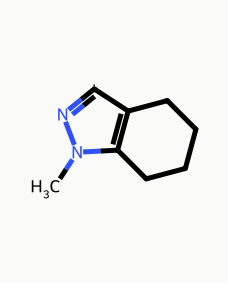 Cn1n[c]c2c1CCCC2